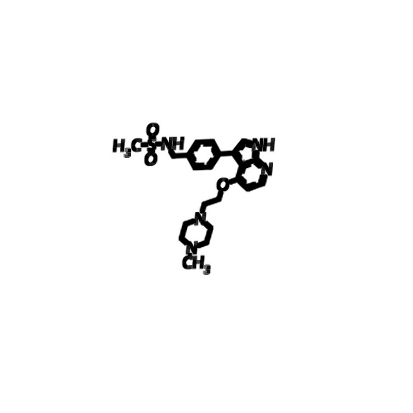 CN1CCN(CCOc2ccnc3[nH]cc(-c4ccc(CNS(C)(=O)=O)cc4)c23)CC1